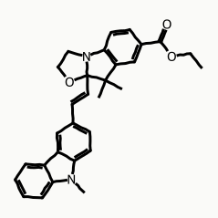 CCOC(=O)c1ccc2c(c1)C(C)(C)C1(C=Cc3ccc4c(c3)c3ccccc3n4C)OCCN21